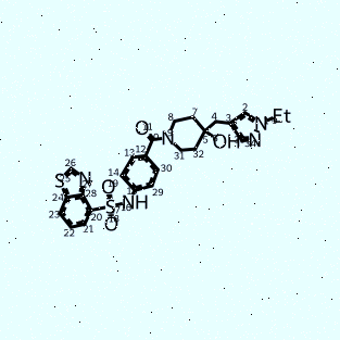 CCn1cc(CC2(O)CCN(C(=O)c3ccc(NS(=O)(=O)c4cccc5scnc45)cc3)CC2)cn1